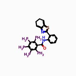 O=C(Nc1ccccc1-c1nc2c(s1)=CCCC=2)c1c(P)c(P)c(P)c(P)c1P